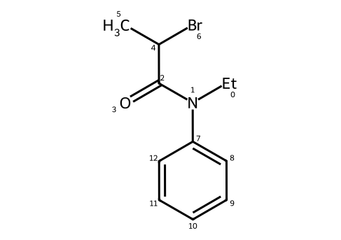 CCN(C(=O)C(C)Br)c1ccccc1